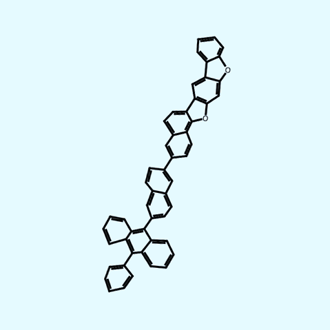 c1ccc(-c2c3ccccc3c(-c3ccc4cc(-c5ccc6c(ccc7c8cc9c(cc8oc67)oc6ccccc69)c5)ccc4c3)c3ccccc23)cc1